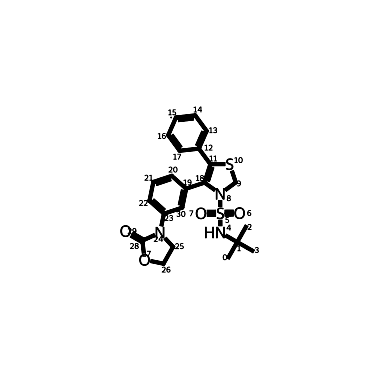 CC(C)(C)NS(=O)(=O)N1CSC(c2cc[c]cc2)=C1c1cccc(N2CCOC2=O)c1